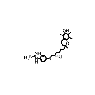 Cc1c(C)c2c(c(C)c1O)CCC(C)(CCCCCCSc1ccc(NC(=N)N)cc1)O2.Cl